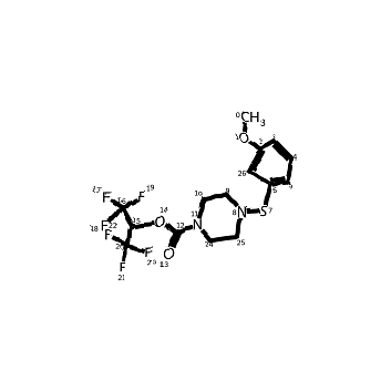 COc1cccc(SN2CCN(C(=O)OC(C(F)(F)F)C(F)(F)F)CC2)c1